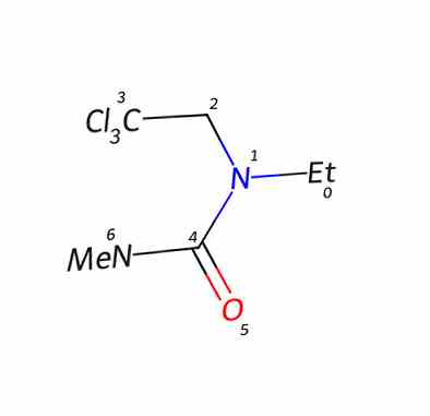 CCN(CC(Cl)(Cl)Cl)C(=O)NC